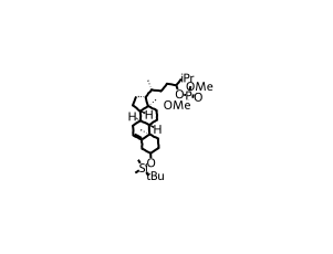 COP(=O)(OC)OC(CC[C@@H](C)[C@H]1CC[C@H]2[C@@H]3CC=C4CC(O[Si](C)(C)C(C)(C)C)CC[C@]4(C)[C@H]3CC[C@]12C)C(C)C